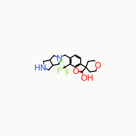 O=C(O)C1(c2ccc(CN3CC4CNCC4C3)c(C(F)(F)F)c2)CCOCC1